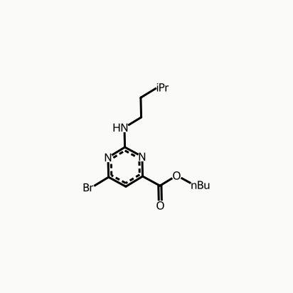 CCCCOC(=O)c1cc(Br)nc(NCCC(C)C)n1